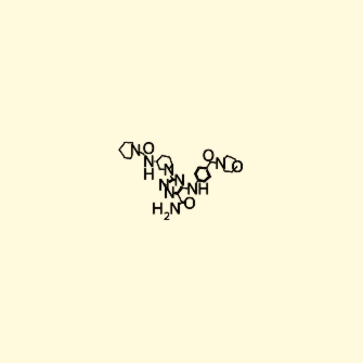 NC(=O)c1nnc(N2CCC[C@@H](NC(=O)N3CCCCC3)C2)nc1Nc1ccc(C(=O)N2CCOCC2)cc1